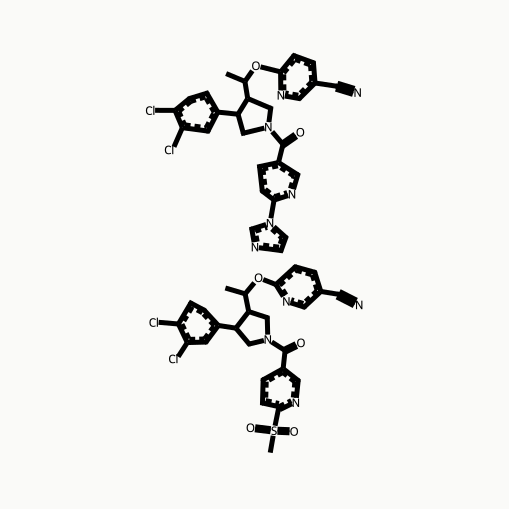 CC(Oc1ccc(C#N)cn1)C1CN(C(=O)c2ccc(-n3ccnc3)nc2)CC1c1ccc(Cl)c(Cl)c1.CC(Oc1ccc(C#N)cn1)C1CN(C(=O)c2ccc(S(C)(=O)=O)nc2)CC1c1ccc(Cl)c(Cl)c1